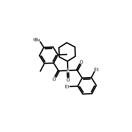 CCc1cccc(CC)c1C(=O)P(=O)(C(=O)c1c(C)cc(C(C)(C)C)cc1C)C1CCCCC1